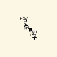 C[C@@H](O)COc1cnn(C23CC(NC(=O)OC(C)(C)C)(C2)C3)c1